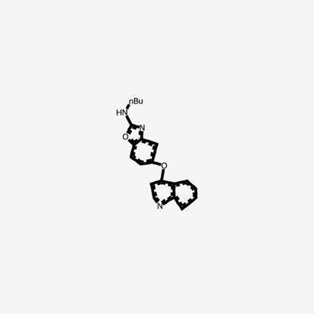 CCCCNc1nc2cc(Oc3ccnc4ccccc34)ccc2o1